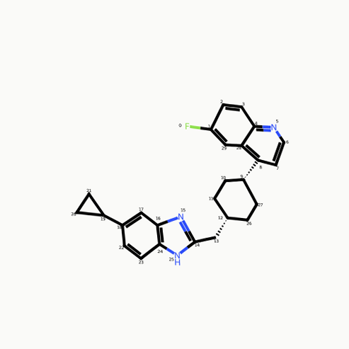 Fc1ccc2nccc([C@H]3CC[C@@H](Cc4nc5cc(C6CC6)ccc5[nH]4)CC3)c2c1